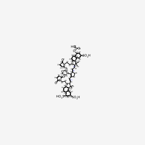 CC1(C)C(/C=C/C2=C(N3CCOCC3)C(=C/C=C3\N(CCN4C(=O)C=CC4=O)c4ccc5c(OS(=O)O)cc(S(=O)(=O)O)cc5c4C3(C)C)/CC2)=[N+](CCN2C(=O)C=CC2=O)c2ccc3c(S(=O)(=O)O)cc(S(=O)(=O)O)cc3c21